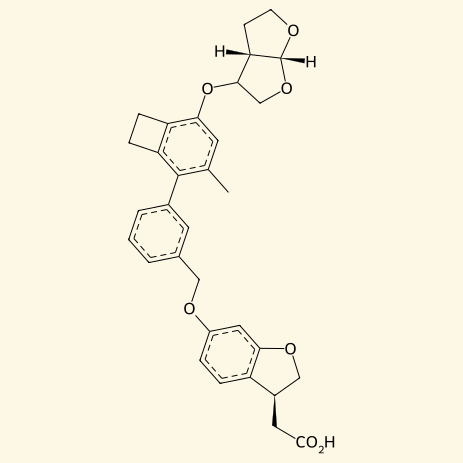 Cc1cc(OC2CO[C@H]3OCC[C@@H]23)c2c(c1-c1cccc(COc3ccc4c(c3)OC[C@H]4CC(=O)O)c1)CC2